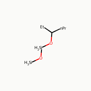 CCCC(CC)O[SiH2]O[SiH3]